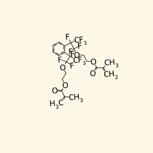 C=C(C)C(=O)OCCOC(F)(F)C(F)(c1ccccc1C(F)(C(F)(F)F)C(F)(F)OCCOC(=O)C(=C)C)C(F)(F)F